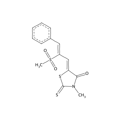 CN1C(=O)C(=CC(=Cc2ccccc2)S(C)(=O)=O)SC1=S